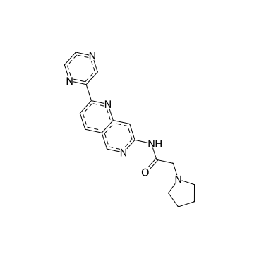 O=C(CN1CCCC1)Nc1cc2nc(-c3cnccn3)ccc2cn1